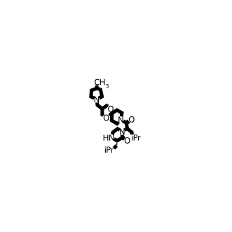 CC(C)CC(C(=O)N1CCC2(CC1)OCC(CN1CCC(C)CC1)CO2)N1CCN[C@@H](CC(C)C)C1=O